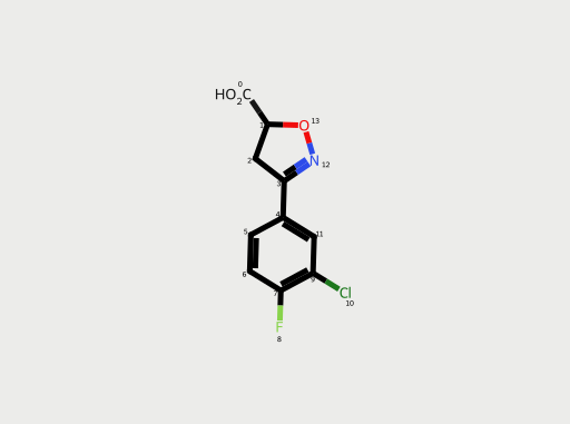 O=C(O)C1CC(c2ccc(F)c(Cl)c2)=NO1